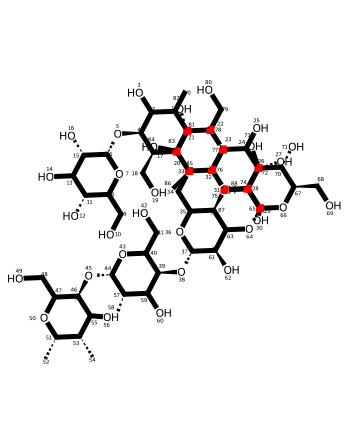 CC1C(O)[C@H](O[C@@H]2OC(CO)[C@H](O)C(O)[C@@H]2O)[C@H](CO)O[C@H]1O[C@@H]1C(O)[C@H](O)C(CO)O[C@@H]1OCC1O[C@@H](O[C@@H]2C(CO)O[C@@H](O[C@@H]3C(CO)O[C@@H](C)[C@@H](C)C3O)[C@@H](C)C2O)[C@H](O)C(O[C@H]2O[C@H](CO)[C@@H](O)C(O)C2O[C@@H]2OC(CO)[C@@H](O)C(O)[C@@H]2C)[C@@H]1O